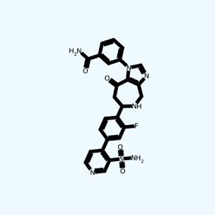 NC(=O)c1cccc(-n2cnc3c2C(=O)CC(c2ccc(-c4ccncc4S(N)(=O)=O)cc2F)NC3)c1